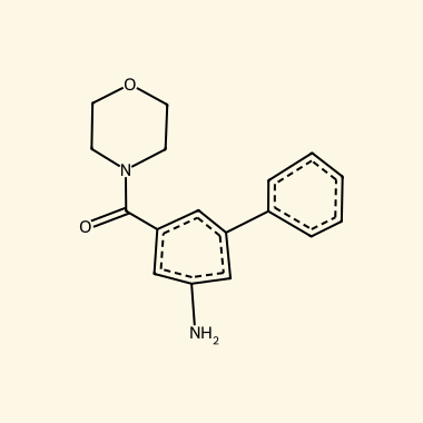 Nc1cc(C(=O)N2CCOCC2)cc(-c2ccccc2)c1